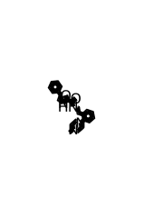 CN1CCN(c2ccccc2CCNC(=O)c2ncc(-c3ccccc3)o2)CC1